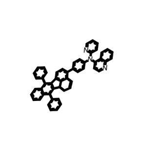 C1=Cc2c(-c3ccc(N(c4ccccn4)c4ccnc5ccccc45)cc3)ccc3c2C(C1)c1c-3c(-c2ccccc2)c2ccccc2c1-c1ccccc1